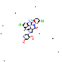 COc1cc(OC)c(-n2cc3c(c2C(C)C)[C@@]2(C(=O)Nc4cc(Cl)ccc42)N(c2cc(Cl)ccc2F)C3=O)cn1